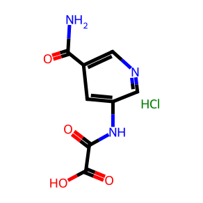 Cl.NC(=O)c1cncc(NC(=O)C(=O)O)c1